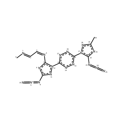 C/N=C/C=N\c1nc(N=[N+]=[N-])nn1-c1nnc(-n2nc(C)nc2N=[N+]=[N-])nn1